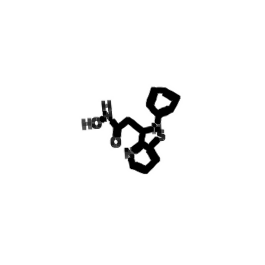 O=C(CC1c2ncccc2SN1c1ccccc1)NO